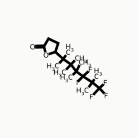 CC(C)(C1CCC(=O)O1)C(C)(C)C(C)(C)C(F)(I)C(C)(C)C(F)(F)F